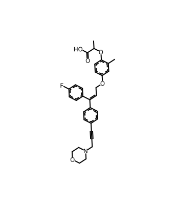 Cc1cc(OC/C=C(\c2ccc(F)cc2)c2ccc(C#CCN3CCOCC3)cc2)ccc1OC(C)C(=O)O